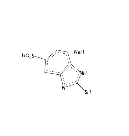 O=S(=O)(O)c1ccc2[nH]c(S)nc2c1.[NaH]